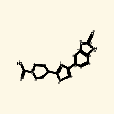 O=C(O)N1CCC(c2nc(-c3ccc4[nH]c(=O)oc4c3)cs2)CC1